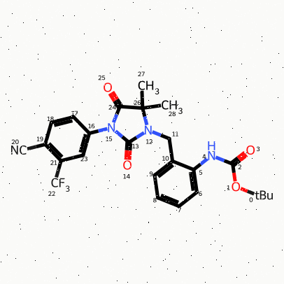 CC(C)(C)OC(=O)Nc1ccccc1CN1C(=O)N(c2ccc(C#N)c(C(F)(F)F)c2)C(=O)C1(C)C